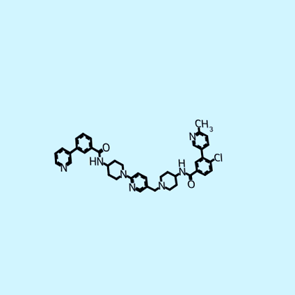 Cc1ccc(-c2cc(C(=O)NC3CCN(Cc4ccc(N5CCC(NC(=O)c6cccc(-c7cccnc7)c6)CC5)nc4)CC3)ccc2Cl)cn1